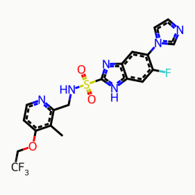 Cc1c(OCC(F)(F)F)ccnc1CNS(=O)(=O)c1nc2cc(-n3ccnc3)c(F)cc2[nH]1